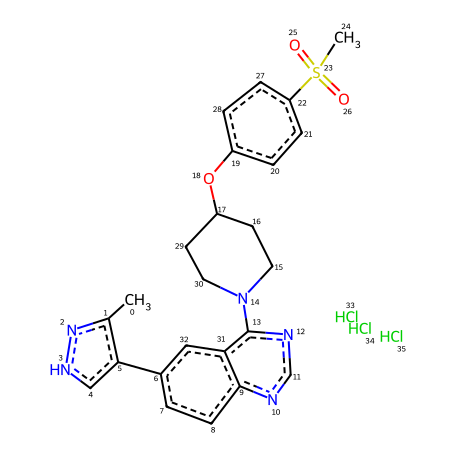 Cc1n[nH]cc1-c1ccc2ncnc(N3CCC(Oc4ccc(S(C)(=O)=O)cc4)CC3)c2c1.Cl.Cl.Cl